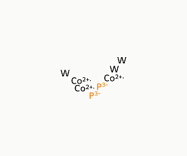 [Co+2].[Co+2].[Co+2].[P-3].[P-3].[W].[W].[W]